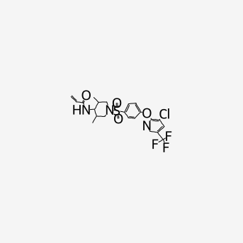 C=CC(=O)NC1C(C)CN(S(=O)(=O)c2ccc(Oc3ncc(C(F)(F)F)cc3Cl)cc2)CC1C